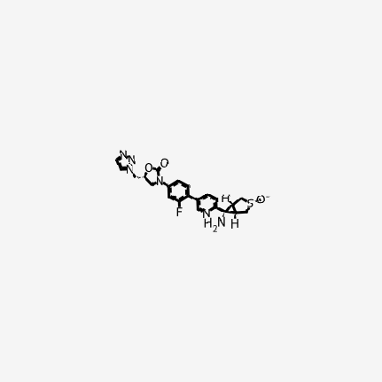 N[C@]1(c2ccc(-c3ccc(N4C[C@H](Cn5ccnn5)OC4=O)cc3F)cn2)[C@@H]2C[S+]([O-])C[C@@H]21